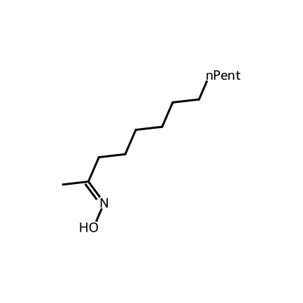 CCCCCCCCCCCC(C)=NO